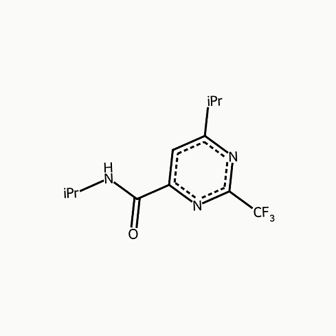 CC(C)NC(=O)c1cc(C(C)C)nc(C(F)(F)F)n1